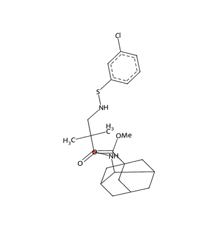 COC(=O)C12CC3CC(C1)C(NC(=O)C(C)(C)CNSc1cccc(Cl)c1)C(C3)C2